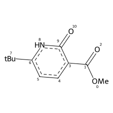 COC(=O)c1ccc(C(C)(C)C)[nH]c1=O